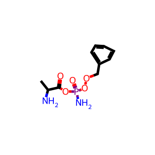 CC(N)C(=O)OP(N)(=O)OOCc1ccccc1